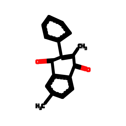 CC1=C(c2ccccc2)C(=O)c2cc(C)ccc2C1=O